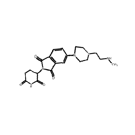 CNCCN1CCN(c2ccc3c(c2)C(=O)N(C2CCC(=O)NC2=O)C3=O)CC1